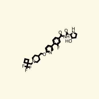 O=C(NC(=O)[C@H]1NCC[C@@H]1O)c1ccc(-c2ccc(OCC3CCN(CC4(C(F)(F)F)CCC4)CC3)nc2)c(F)c1